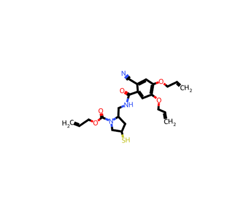 C=CCOC(=O)N1CC(S)CC1CNC(=O)c1cc(OCC=C)c(OCC=C)cc1C#N